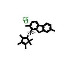 CC1=C(C)C(C)(C)[C]([Zr+2][c]2c(C)ccc3c2Cc2cc(C)ccc2-3)=C1C.[Cl-].[Cl-]